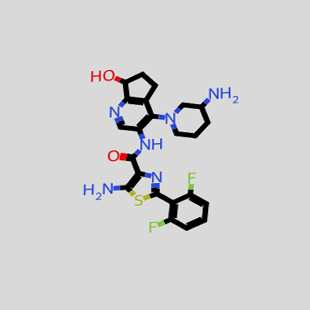 Nc1sc(-c2c(F)cccc2F)nc1C(=O)Nc1cnc2c(c1N1CCCC(N)C1)CCC2O